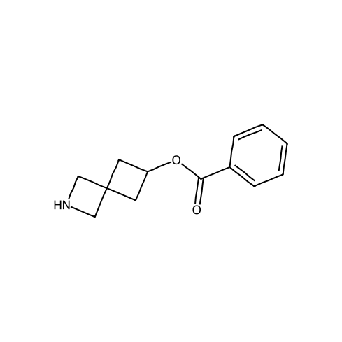 O=C(OC1CC2(CNC2)C1)c1ccccc1